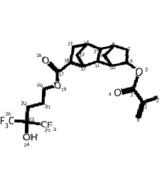 C=C(C)C(=O)OC1CC2CC1C1C3CC(CC3C(=O)OCCCC(O)(C(F)(F)F)C(F)(F)F)C21